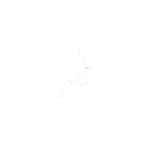 CC(C)CCCOC(=O)C1CCCC(C(=O)OCCC(C)C)C1